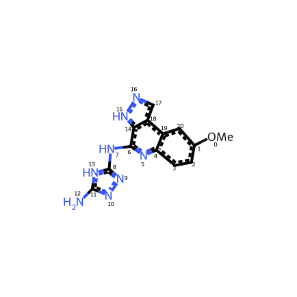 COc1ccc2nc(Nc3nnc(N)[nH]3)c3[nH]ncc3c2c1